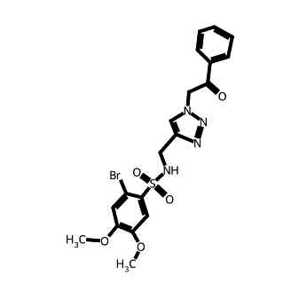 COc1cc(Br)c(S(=O)(=O)NCc2cn(CC(=O)c3ccccc3)nn2)cc1OC